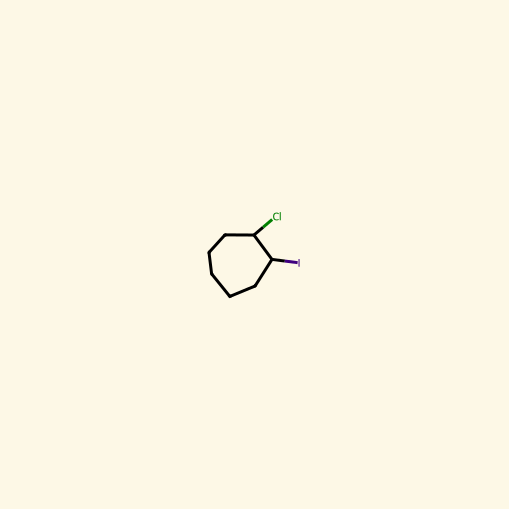 ClC1CCCCCC1I